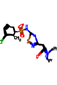 Cc1c(Cl)cccc1S(=O)(=O)Nc1nc(CC(=O)N(C(C)C)C(C)C)ns1